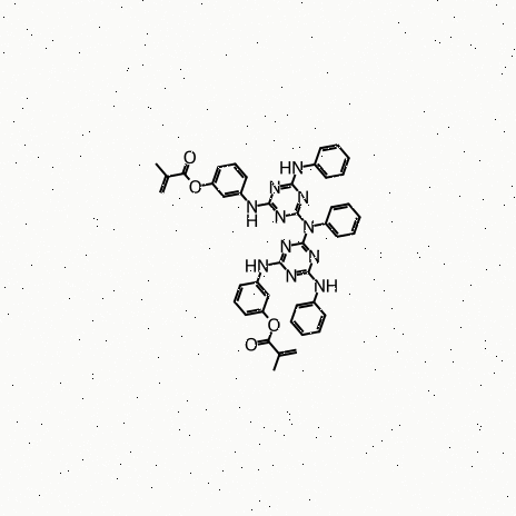 C=C(C)C(=O)Oc1cccc(Nc2nc(Nc3ccccc3)nc(N(c3ccccc3)c3nc(Nc4ccccc4)nc(Nc4cccc(OC(=O)C(=C)C)c4)n3)n2)c1